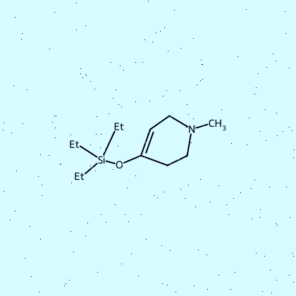 CC[Si](CC)(CC)OC1=CCN(C)CC1